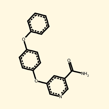 NC(=O)c1cncc(Oc2ccc(Oc3ccccc3)cc2)c1